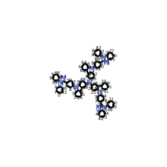 c1ccc(-n2c(-c3ccc(-n4c5ccccc5c5cc(N(c6ccc7c(c6)c6ccccc6n7-c6ccc(-c7nc8ccccc8n7-c7ccccc7)cc6)c6ccc7c(c6)c6ccccc6n7-c6ccc(-c7nc8ccccc8n7-c7ccccc7)cc6)ccc54)cc3)nc3ccccc32)cc1